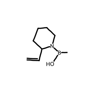 C=CC1CCCCN1B(C)O